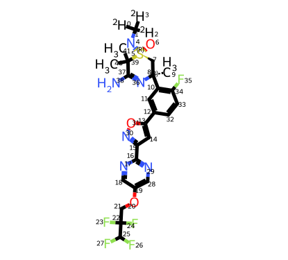 [2H]C([2H])([2H])N=[S@@]1(=O)C[C@@](C)(c2cc(-c3cc(-c4ncc(OCC(F)(F)C(F)F)cn4)no3)ccc2F)N=C(N)C1(C)C